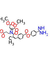 CCOC(=O)C[C@@H](C(=O)OCC)N(CCC(=O)O)C(=O)C(C)=Cc1ccc(C(=O)Oc2ccc(C(=N)N)cc2)cc1